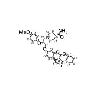 COc1ccc(OC(COc2ccc3c(C)c(Cc4ccccc4)c(=O)oc3c2)CN2CCC(C(N)=O)CC2)cc1